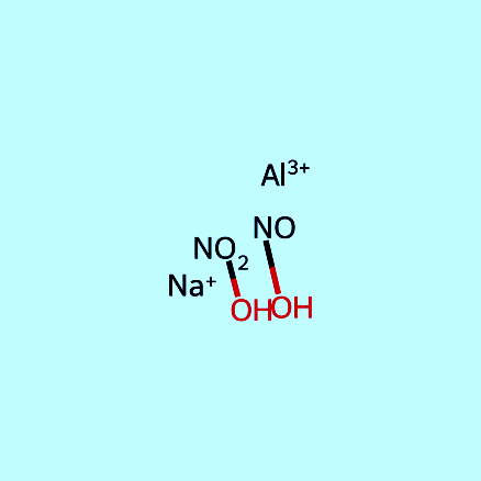 O=NO.O=[N+]([O-])O.[Al+3].[Na+]